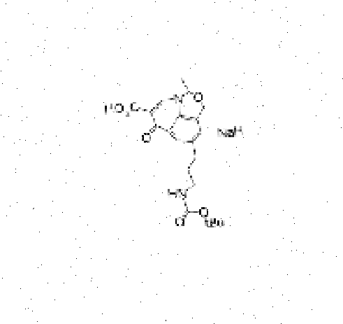 CC1OCc2cc(CCCNC(=O)OC(C)(C)C)cc3c(=O)c(C(=O)O)cn1c23.[NaH]